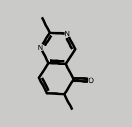 Cc1ncc2c(n1)C=CC(C)C2=O